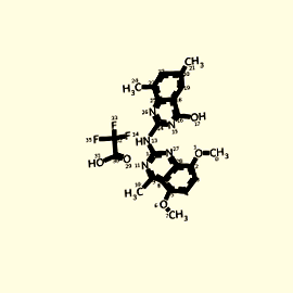 COc1ccc(OC)c2c(C)nc(Nc3nc(O)c4cc(C)cc(C)c4n3)nc12.O=C(O)C(F)(F)F